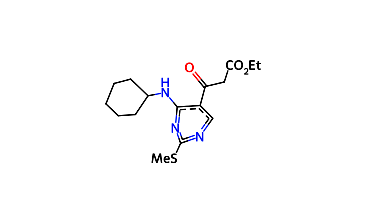 CCOC(=O)CC(=O)c1cnc(SC)nc1NC1CCCCC1